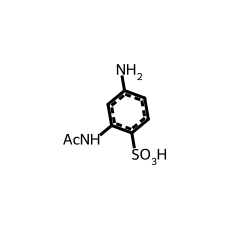 CC(=O)Nc1cc(N)ccc1S(=O)(=O)O